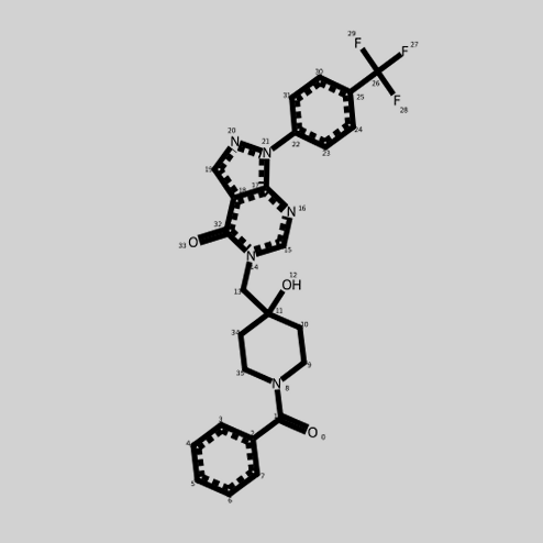 O=C(c1ccccc1)N1CCC(O)(Cn2cnc3c(cnn3-c3ccc(C(F)(F)F)cc3)c2=O)CC1